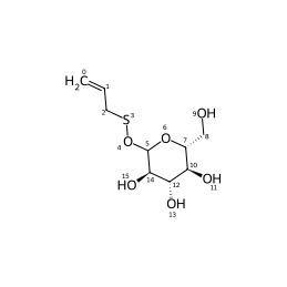 C=CCSOC1O[C@H](CO)[C@@H](O)[C@H](O)[C@H]1O